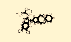 CC(C)Nc1nc2cc(Cl)c(Cl)cc2n1C1CC2COC3(CCCCC3)OCC2C1